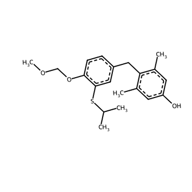 COCOc1ccc(Cc2c(C)cc(O)cc2C)cc1SC(C)C